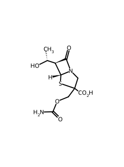 C[C@@H](O)[C@H]1C(=O)N2CC(COC(N)=O)(C(=O)O)S[C@H]12